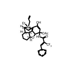 C=CC[N+]1(CC)CC[C@@]23C4=C5C[C@@H]1[C@@H]2CCC[C@@H]3OC4C(NC(=O)C(=Cc1ccccc1)C(F)(F)F)(OC(C)=O)C=C5O